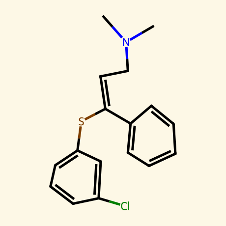 CN(C)CC=C(Sc1cccc(Cl)c1)c1ccccc1